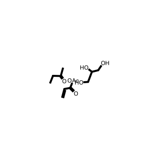 C=CC(=O)OC(C)=O.CCC(C)=O.OCC(O)CO